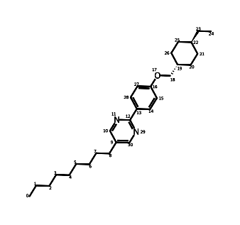 CCCCCCCCCc1cnc(-c2ccc(OC[C@H]3CC[C@H](CC)CC3)cc2)nc1